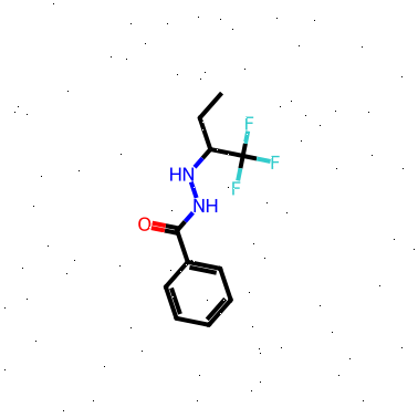 CCC(NNC(=O)c1ccccc1)C(F)(F)F